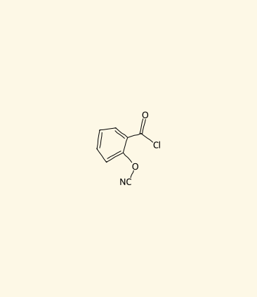 N#COc1ccccc1C(=O)Cl